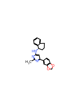 Cc1nc(N[C@@H]2CCCc3ccccc32)cc(-c2ccc3c(c2)OCO3)n1